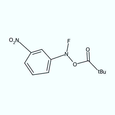 CC(C)(C)C(=O)ON(F)c1cccc([N+](=O)[O-])c1